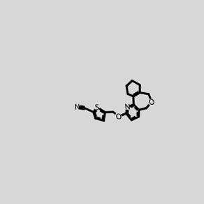 N#Cc1ccc(COc2ccc3c(n2)C2=C(CCCC2)COC3)s1